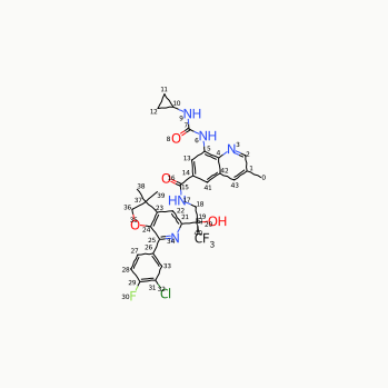 Cc1cnc2c(NC(=O)NC3CC3)cc(C(=O)NC[C@](O)(c3cc4c(c(-c5ccc(F)c(Cl)c5)n3)OCC4(C)C)C(F)(F)F)cc2c1